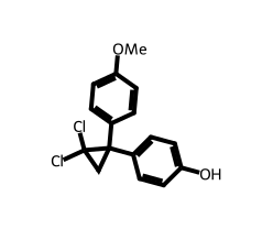 COc1ccc(C2(c3ccc(O)cc3)CC2(Cl)Cl)cc1